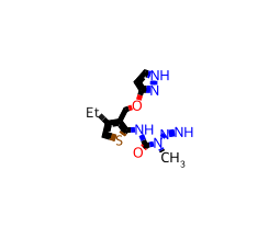 CCc1csc(NC(=O)N(C)N=N)c1COc1cc[nH]n1